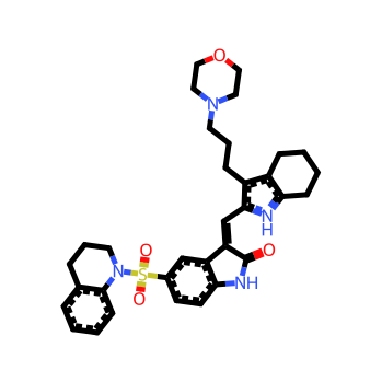 O=C1Nc2ccc(S(=O)(=O)N3CCCc4ccccc43)cc2/C1=C/c1[nH]c2c(c1CCCN1CCOCC1)CCCC2